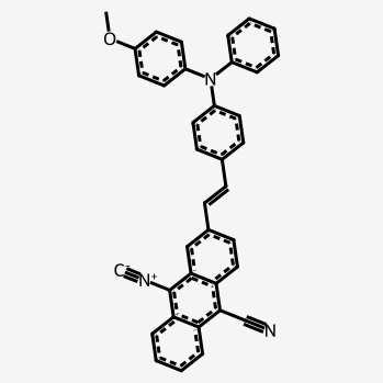 [C-]#[N+]c1c2ccccc2c(C#N)c2ccc(C=Cc3ccc(N(c4ccccc4)c4ccc(OC)cc4)cc3)cc12